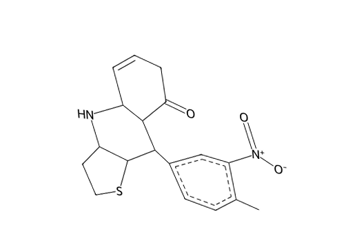 Cc1ccc(C2C3SCCC3NC3C=CCC(=O)C32)cc1[N+](=O)[O-]